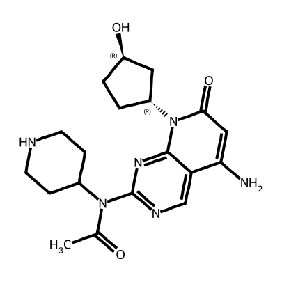 CC(=O)N(c1ncc2c(N)cc(=O)n([C@@H]3CC[C@@H](O)C3)c2n1)C1CCNCC1